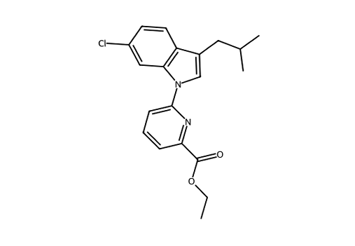 CCOC(=O)c1cccc(-n2cc(CC(C)C)c3ccc(Cl)cc32)n1